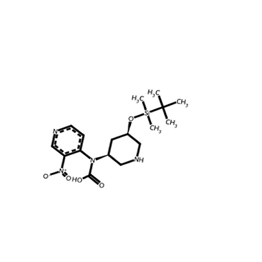 CC(C)(C)[Si](C)(C)O[C@H]1CNC[C@@H](N(C(=O)O)c2ccncc2[N+](=O)[O-])C1